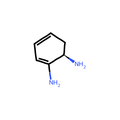 NC1=CC=CC[C@H]1N